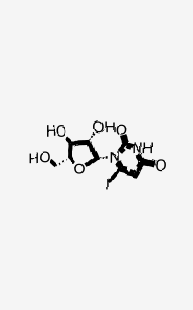 O=c1cc(I)n([C@@H]2O[C@H](CO)C(O)[C@@H]2O)c(=O)[nH]1